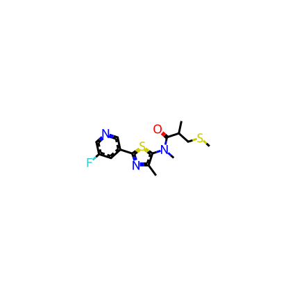 CSCC(C)C(=O)N(C)c1sc(-c2cncc(F)c2)nc1C